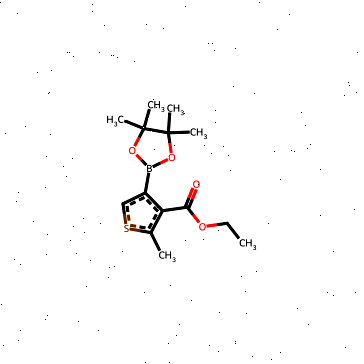 CCOC(=O)c1c(B2OC(C)(C)C(C)(C)O2)csc1C